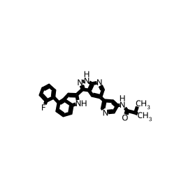 CC(C)C(=O)Nc1cncc(-c2cnc3[nH]nc(-c4cc5c(-c6ccccc6F)cccc5[nH]4)c3c2)c1